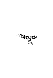 CN1CCC(Oc2ccc(F)cc2)c2ccc(-c3ccc(N)nn3)cc2C1